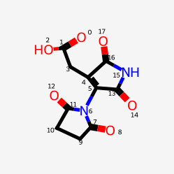 O=C(O)CC1=C(N2C(=O)CCC2=O)C(=O)NC1=O